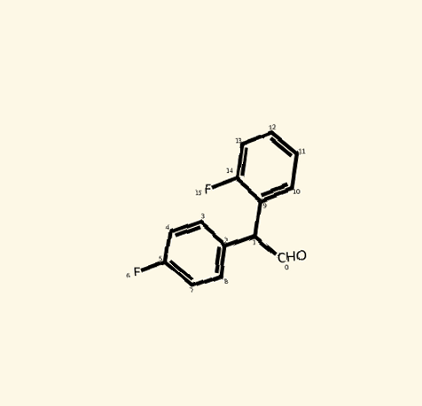 O=CC(c1ccc(F)cc1)c1ccccc1F